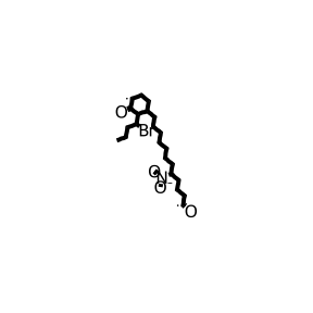 CCCC(Br)C1C(=O)[CH]CCC1CCCCCCCC(CCC[C]=O)[N+](=O)[O-]